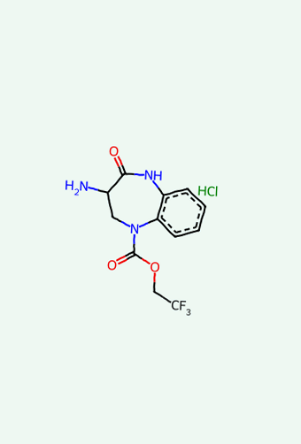 Cl.NC1CN(C(=O)OCC(F)(F)F)c2ccccc2NC1=O